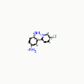 Nc1ccc(N)c(-c2ccc(Cl)cn2)c1